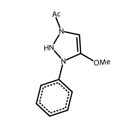 COC1=CN(C(C)=O)NN1c1ccccc1